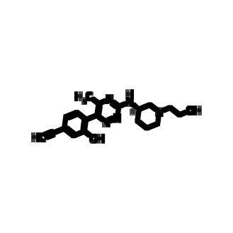 C#Cc1ccc(-c2nnc(N[C@@H]3CCCN(CCO)C3)nc2C)c(O)c1